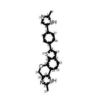 Cc1ncc(-c2ccc(-c3cc4ccc5c(c4s3)OCc3nc(C)[nH]c3-5)cc2)[nH]1